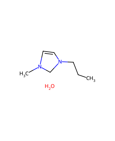 CCCN1C=CN(C)C1.O